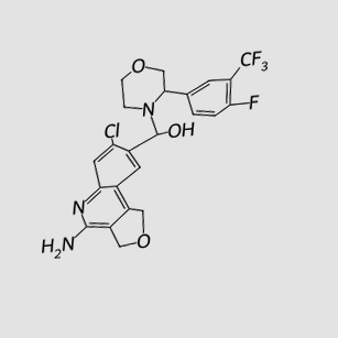 Nc1nc2cc(Cl)c(C(O)N3CCOCC3c3ccc(F)c(C(F)(F)F)c3)cc2c2c1COC2